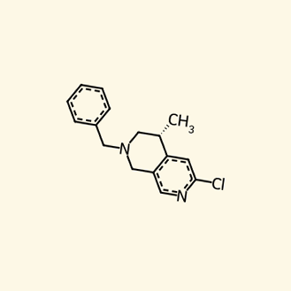 C[C@H]1CN(Cc2ccccc2)Cc2cnc(Cl)cc21